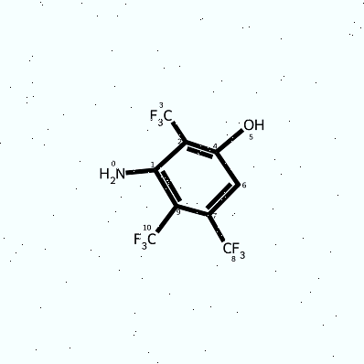 Nc1c(C(F)(F)F)c(O)cc(C(F)(F)F)c1C(F)(F)F